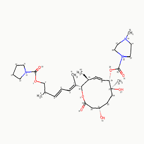 C/C(=C\C=C\C(C)COC(=O)N1CCCC1)[C@H]1OC(=O)C[C@@H](O)CC[C@](C)(O)[C@@H](OC(=O)N2CCN(C)CC2)/C=C/[C@@H]1C